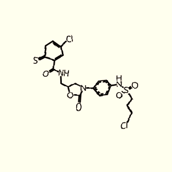 O=C(NCC1CN(c2ccc(NS(=O)(=O)CCCCl)cc2)C(=O)O1)C1=CC(Cl)=CCC1=S